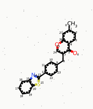 Cc1ccc2c(=O)c(Cc3ccc(-c4nc5ccccc5s4)cc3)coc2c1